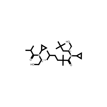 CC(CCC(C)(C)C(=O)N(C1CC1)[C@H](CO)CC(C)(C)C)C[C@H](CO)N(C(=O)C(C)C)C1CC1